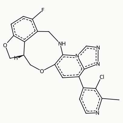 Cc1nccc(-c2cc3c(n4cnnc24)NCc2c(F)ccc4c2[C@@H](CO4)CO3)c1Cl